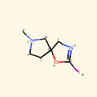 CN1CCC2(CN=C(I)O2)C1